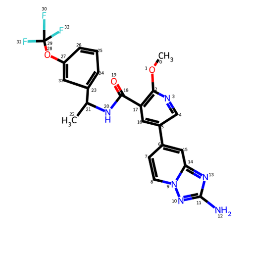 COc1ncc(-c2ccn3nc(N)nc3c2)cc1C(=O)NC(C)c1cccc(OC(F)(F)F)c1